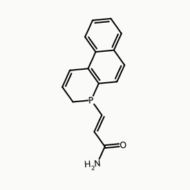 NC(=O)C=CP1CC=Cc2c1ccc1ccccc21